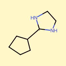 C1CCC([C]2NCCN2)C1